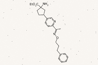 CCOC(=O)C1(N)CCC(c2ccc(/C(C)=N/OCCCc3ccccc3)nc2)C1